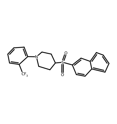 O=S(=O)(c1ccc2ccccc2c1)C1CCN(c2ccccc2C(F)(F)F)CC1